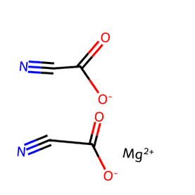 N#CC(=O)[O-].N#CC(=O)[O-].[Mg+2]